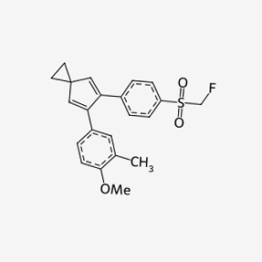 COc1ccc(C2=CC3(C=C2c2ccc(S(=O)(=O)CF)cc2)CC3)cc1C